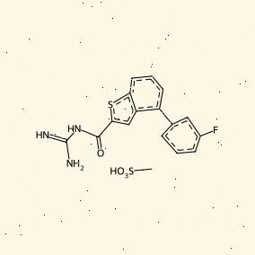 CS(=O)(=O)O.N=C(N)NC(=O)c1cc2c(-c3cccc(F)c3)cccc2s1